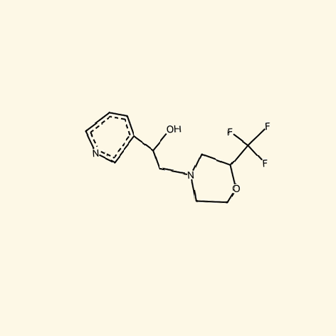 OC(CN1CCOC(C(F)(F)F)C1)c1cccnc1